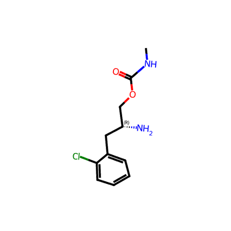 CNC(=O)OC[C@H](N)Cc1ccccc1Cl